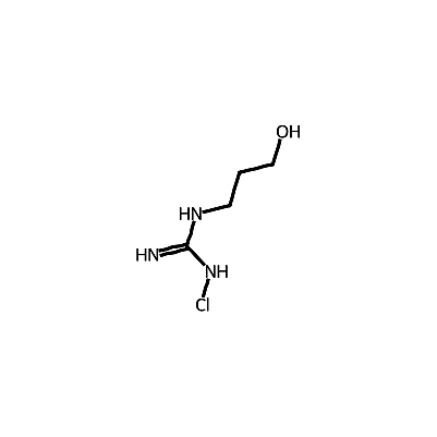 N=C(NCl)NCCCO